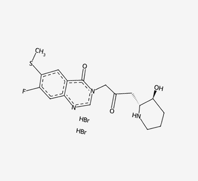 Br.Br.CSc1cc2c(=O)n(CC(=O)C[C@H]3NCCC[C@@H]3O)cnc2cc1F